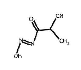 CC(C#N)C(=O)/N=N/O